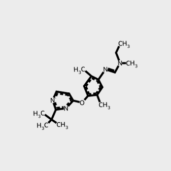 CCN(C)C=Nc1cc(C)c(Oc2ccnc(C(C)(C)C)n2)cc1C